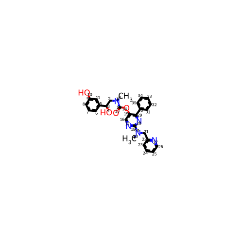 CN(CC(O)c1cccc(O)c1)C(=O)Oc1cnc(N(C)Cc2ccccn2)nc1-c1ccccc1